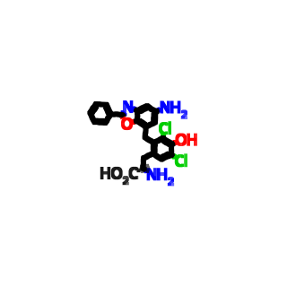 Nc1cc(Cc2c(C[C@H](N)C(=O)O)cc(Cl)c(O)c2Cl)c2oc(-c3ccccc3)nc2c1